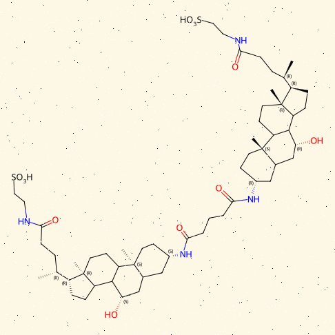 C[C@H](CCC(=O)NCCS(=O)(=O)O)[C@H]1CCC2C3C(CC[C@@]21C)[C@@]1(C)CC[C@@H](NC(=O)CCCC(=O)N[C@H]2CC[C@@]4(C)C(C2)C[C@H](O)C2C4CC[C@@]4(C)C2CC[C@@H]4[C@H](C)CCC(=O)NCCS(=O)(=O)O)CC1C[C@H]3O